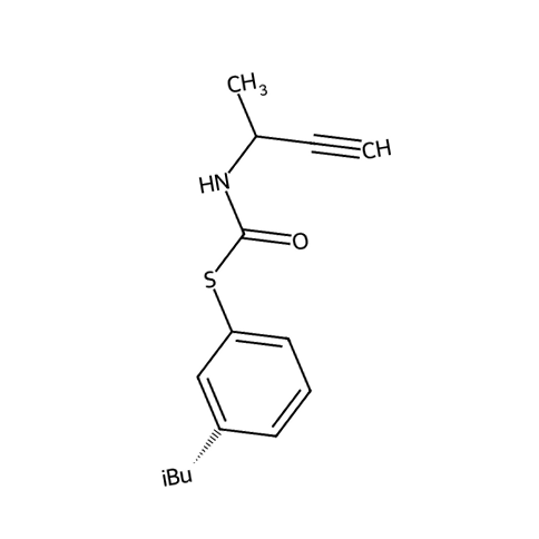 C#CC(C)NC(=O)Sc1cccc([C@@H](C)CC)c1